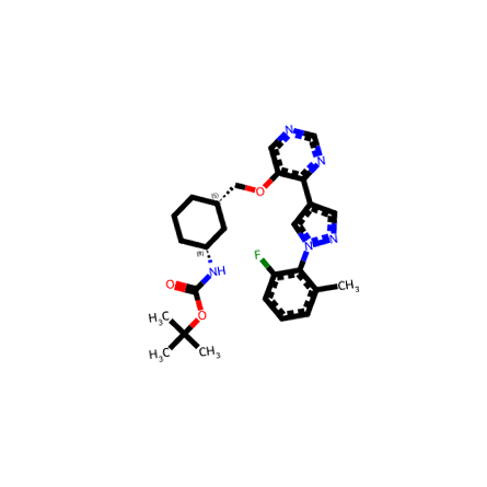 Cc1cccc(F)c1-n1cc(-c2ncncc2OC[C@H]2CCC[C@@H](NC(=O)OC(C)(C)C)C2)cn1